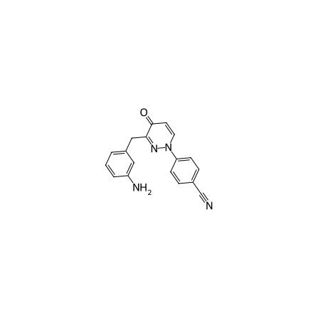 N#Cc1ccc(-n2ccc(=O)c(Cc3cccc(N)c3)n2)cc1